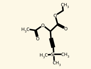 CCOC(=O)C(C#C[Si](C)(C)C)OC(C)=O